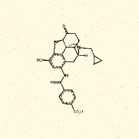 O=C(O)c1ccc(C(=O)Nc2cc(O)c3c4c2C[C@@H]2[C@@H]5CCC(=O)[C@H](O3)[C@]45CCN2CC2CC2)cc1